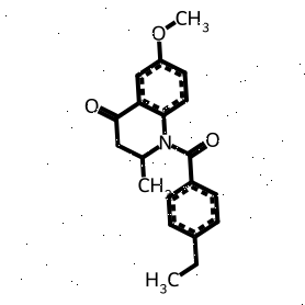 CCc1ccc(C(=O)N2c3ccc(OC)cc3C(=O)CC2C)cc1